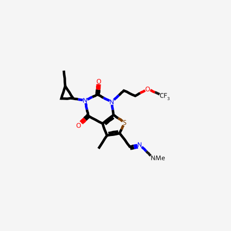 CN/N=C/c1sc2c(c1C)c(=O)n(C1CC1C)c(=O)n2CCOC(F)(F)F